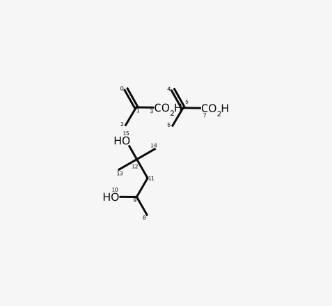 C=C(C)C(=O)O.C=C(C)C(=O)O.CC(O)CC(C)(C)O